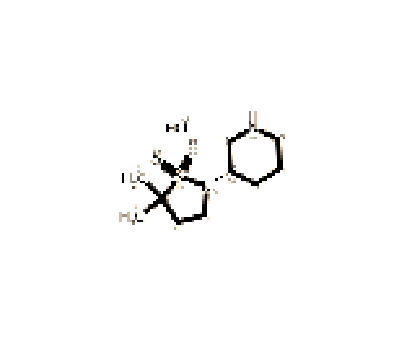 CC1(C)CCN([C@H]2CCCNC2)S1(=O)=O.Cl